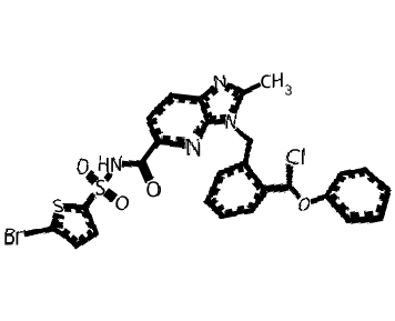 Cc1nc2ccc(C(=O)NS(=O)(=O)c3ccc(Br)s3)nc2n1Cc1ccccc1C(Cl)Oc1ccccc1